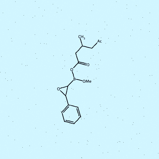 COB(OC(=O)CC(C)CC(C)=O)C1OC1c1ccccc1